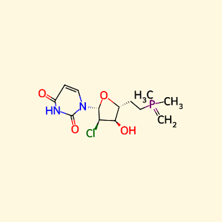 C=P(C)(C)CC[C@H]1O[C@@H](n2ccc(=O)[nH]c2=O)[C@H](Cl)[C@@H]1O